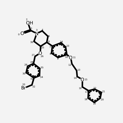 O=C(O)N1CCC(c2ccc(OCCCOCc3ccccc3)cc2)C(OCc2ccc(CBr)cc2)C1